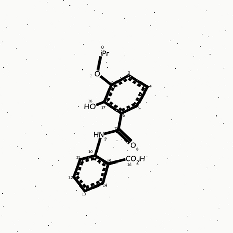 CC(C)Oc1cccc(C(=O)Nc2ccccc2C(=O)O)c1O